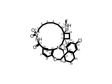 CN[C@H]1CCCCCS(=O)(=O)NC(=O)c2ccc3c(c2)N(C[C@@H]2CC[C@H]21)C[C@@]1(CCCc2cc(Cl)ccc21)CO3